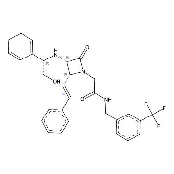 O=C(CN1C(=O)[C@@H](N[C@H](CO)C2=CCCC=C2)[C@H]1/C=C/c1ccccc1)NCc1cccc(C(F)(F)F)c1